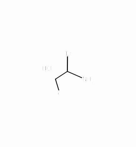 CCC(N)CCl.Cl